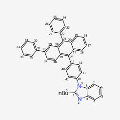 CCCCc1nc2ccccc2n1-c1ccc(-c2c3ccccc3c(-c3ccccc3)c3cc(-c4ccccc4)ccc23)cc1